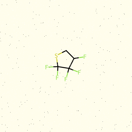 FC1CSC(F)(F)C1(F)F